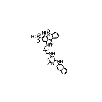 Cc1nc(NCC(C)(C)CNc2cc(S(=O)(=O)O)c(N)c3c2C(=O)c2ccccc2C3=O)nc(Nc2ccc3ccccc3c2)n1